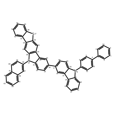 c1ccc(-c2ccc(-n3c4ccccc4c4cc(-c5ccc6c(c5)c5cc7sc8ccccc8c7cc5n6-c5ccc6ccccc6c5)ccc43)cc2)cc1